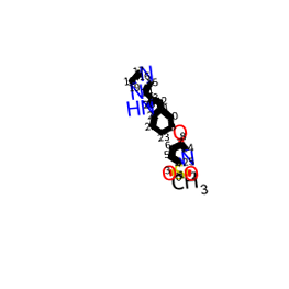 CS(=O)(=O)c1ccc(OC2C=c3cc(-c4cnccn4)[nH]c3=CC2)cn1